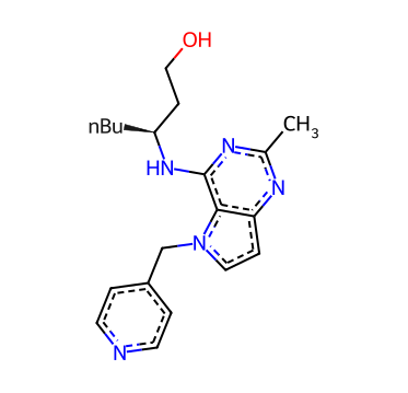 CCCC[C@@H](CCO)Nc1nc(C)nc2ccn(Cc3ccncc3)c12